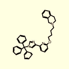 c1ccc(C(c2ccccc2)(c2ccccc2)n2cnc(-c3cccc(OCCCCN4CCc5ccccc5C4)n3)c2)cc1